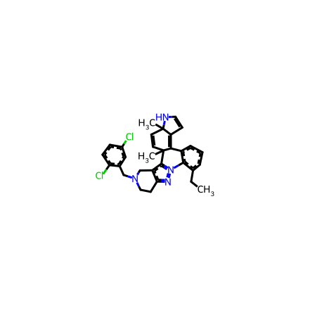 CCc1cccc2c1-n1nc3c(c1C1(C)C=CC4(C)NC=CC4=C21)CN(Cc1cc(Cl)ccc1Cl)CC3